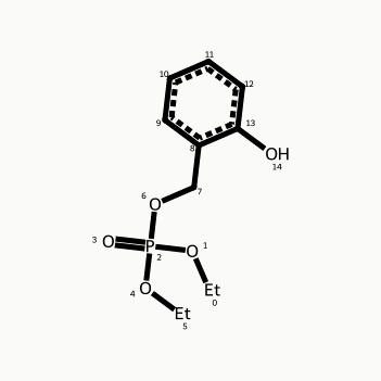 CCOP(=O)(OCC)OCc1ccccc1O